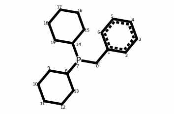 [C](c1ccccc1)P(C1CCCCC1)C1CCCCC1